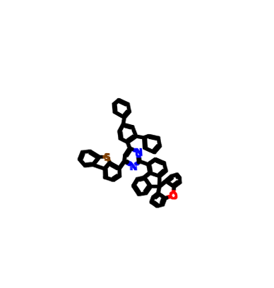 c1ccc(-c2ccc(-c3cc(-c4cccc5c4sc4ccccc45)nc(-c4cccc5c4-c4ccccc4C54c5ccccc5Oc5ccccc54)n3)c(-c3ccccc3)c2)cc1